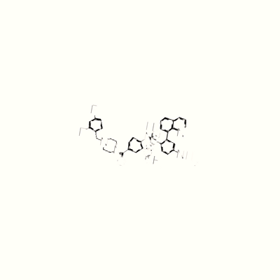 Nc1ccc(S(=O)(=O)Nc2ccc(C(=O)N3CCN(Cc4ccc(F)cc4F)CC3)cc2OC(F)(F)F)c(-c2cccc3cccnc23)c1